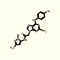 CCn1nc(C)cc1NC(=O)Cn1cnc2c(Nc3ccc(C#N)cc3)nc(N)nc21